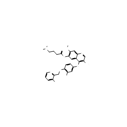 CCOc1cc2ncc(C#N)c(Nc3ccc(OCc4ncccc4CC)c(Cl)c3)c2cc1NC(=O)CCCN(C)C